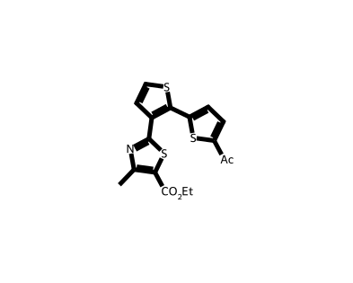 CCOC(=O)c1sc(-c2ccsc2-c2ccc(C(C)=O)s2)nc1C